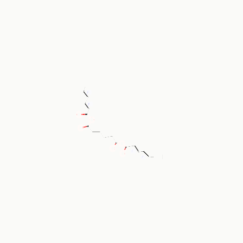 C/C=C/C=C/C(=O)OC(=O)CCCCC(=O)OC(=O)/C=C/C=C/C